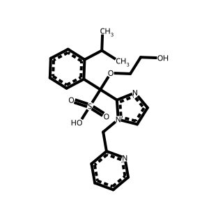 CC(C)c1ccccc1C(OCCO)(c1nccn1Cc1ccccn1)S(=O)(=O)O